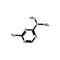 CCCCN(CCCC)c1ncn[c]([Na])n1